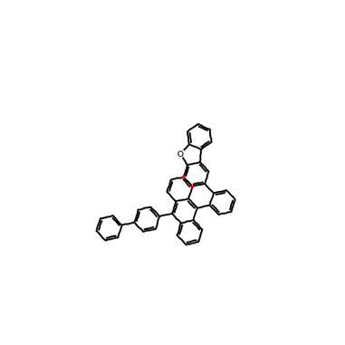 c1ccc(-c2ccc(-c3c4ccccc4c(-c4ccccc4-c4ccc5oc6ccccc6c5c4)c4ccccc34)cc2)cc1